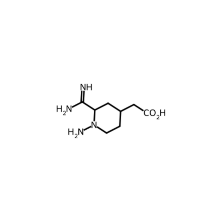 N=C(N)C1CC(CC(=O)O)CCN1N